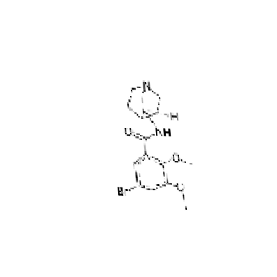 COc1cc(Br)cc(C(=O)N[C@@H]2CN3CCC2CC3)c1OC